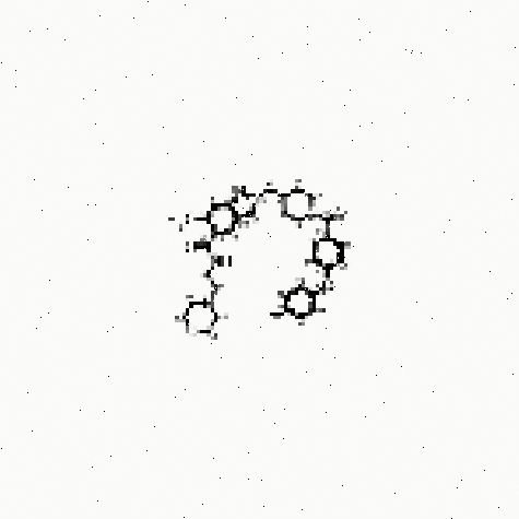 Cc1cc2nn(CC3CCN(C(=O)c4ccc(Oc5ccc(F)cc5)cc4)CC3)cc2cc1C(=O)NCCN1CCOCC1